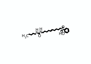 CCCCCNC(=O)NCCCC/C=C/CCCCS(=O)(=O)c1ccccc1O